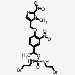 CC(OP(=O)(NCCBr)NCCBr)c1ccc(OCc2cnc([N+](=O)[O-])n2C)c([N+](=O)[O-])c1